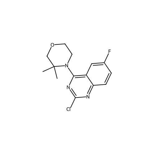 CC1(C)COCCN1c1nc(Cl)nc2ccc(F)cc12